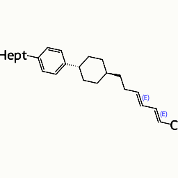 CCCCCCCc1ccc([C@H]2CC[C@H](CC/C=C/C=C/C#N)CC2)cc1